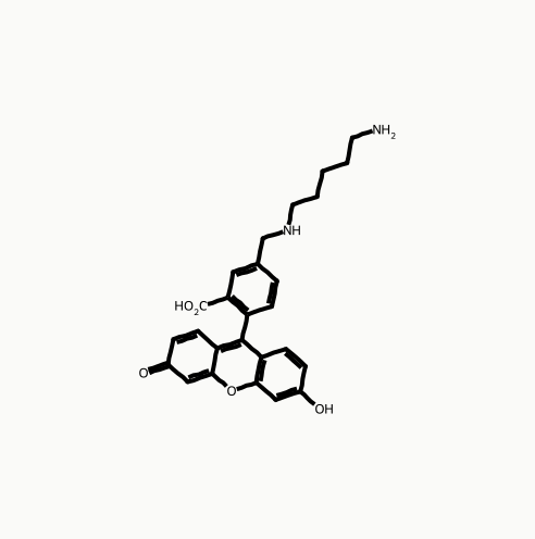 NCCCCCNCc1ccc(-c2c3ccc(=O)cc-3oc3cc(O)ccc23)c(C(=O)O)c1